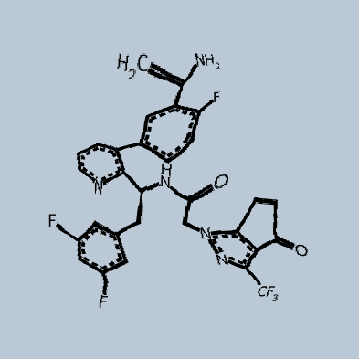 C=C(N)c1cc(-c2cccnc2[C@H](Cc2cc(F)cc(F)c2)NC(=O)Cn2nc(C(F)(F)F)c3c2CCC3=O)ccc1F